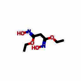 CCOC(CC(=NO)OCC)=NO